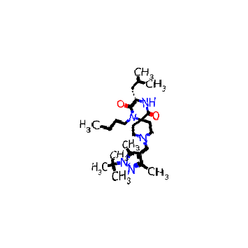 CCCCN1C(=O)[C@H](CC(C)C)NC(=O)C12CCN(Cc1c(C)nn(C(C)(C)C)c1C)CC2